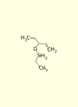 C=CC(C=C)O[SiH2]CC